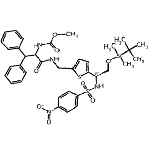 COC(=O)NC(C(=O)NCc1ccc([C@@H](CO[Si](C)(C)C(C)(C)C)NS(=O)(=O)c2ccc([N+](=O)[O-])cc2)s1)C(c1ccccc1)c1ccccc1